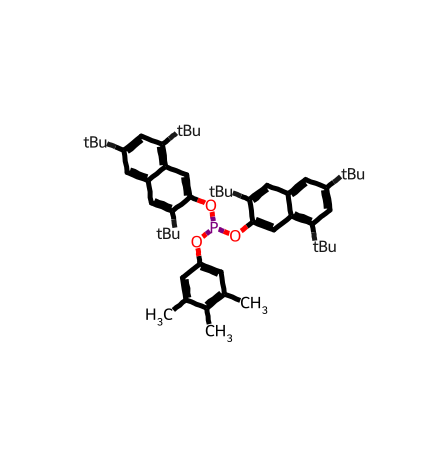 Cc1cc(OP(Oc2cc3c(C(C)(C)C)cc(C(C)(C)C)cc3cc2C(C)(C)C)Oc2cc3c(C(C)(C)C)cc(C(C)(C)C)cc3cc2C(C)(C)C)cc(C)c1C